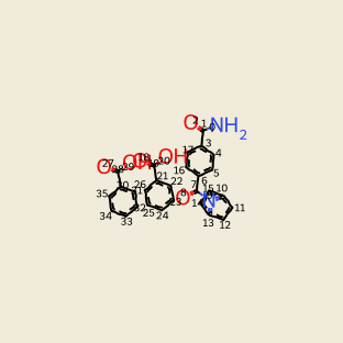 NC(=O)c1ccc(C(=O)n2c3ccc2cc3)cc1.O=C(O)c1ccccc1.O=C(O)c1ccccc1